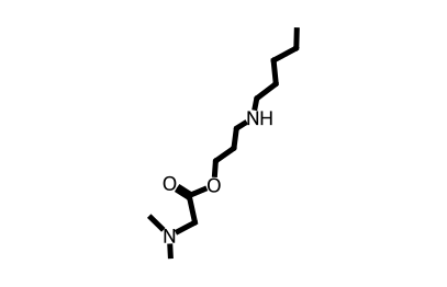 CCCCCNCCCOC(=O)CN(C)C